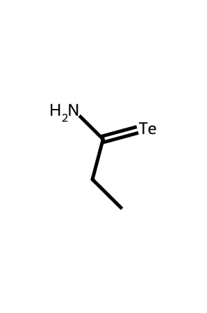 CCC(N)=[Te]